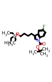 CC[Si](CC)(CC)OCCCCc1cn(C(=O)OC(C)(C)C)c2ccc(F)cc12